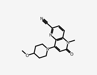 COC1CCN(c2cc(=O)n(C)c3ccc(C#N)nc23)CC1